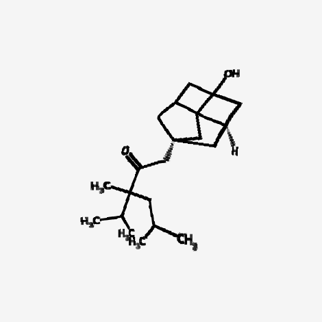 CC(C)CC(C)(C(=O)C[C@@]12CC3CC4(O)C[C@@H](C1)C34C2)C(C)C